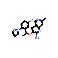 Cc1cc2nc(N)c(OC(C)c3cc(C(=O)O)ccc3-n3cccn3)cc2cn1